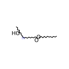 CCCCCCCCCCCCOC(=O)CCCCCCC/C=C\CCCC(O)CCCC